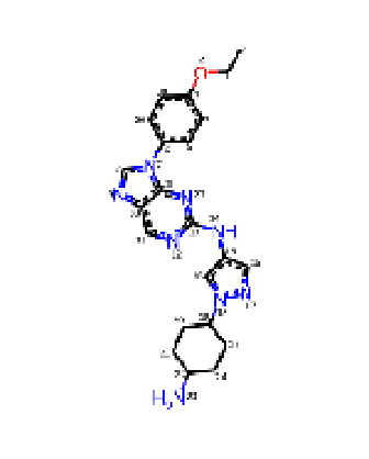 CCOc1ccc(-n2cnc3cnc(Nc4cnn(C5CCC(N)CC5)c4)nc32)cc1